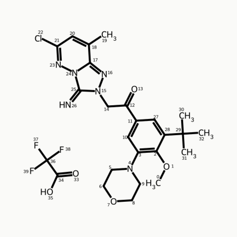 COc1c(N2CCOCC2)cc(C(=O)Cn2nc3c(C)cc(Cl)nn3c2=N)cc1C(C)(C)C.O=C(O)C(F)(F)F